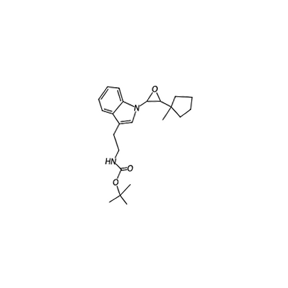 CC(C)(C)OC(=O)NCCc1cn(C2OC2C2(C)CCCC2)c2ccccc12